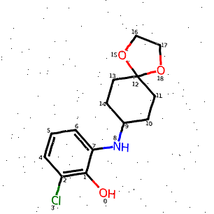 Oc1c(Cl)cccc1NC1CCC2(CC1)OCCO2